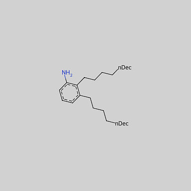 CCCCCCCCCCCCCCc1cccc(N)c1CCCCCCCCCCCCCC